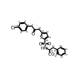 O=C(Cc1ccc(Cl)cc1)Cc1ccc(S(=O)(=O)NC(Cc2ccccc2)C(=O)O)s1